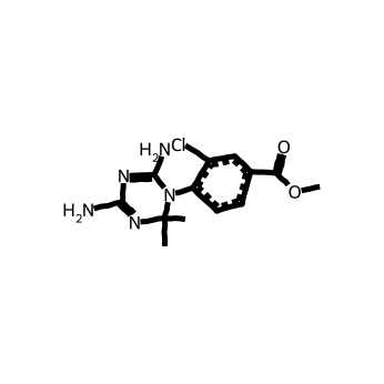 COC(=O)c1ccc(N2C(N)=NC(N)=NC2(C)C)c(Cl)c1